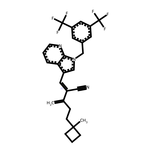 C=C(CCC1(C)CCC1)/C(C#N)=C/c1cn(Cc2cc(C(F)(F)F)cc(C(F)(F)F)c2)c2ncccc12